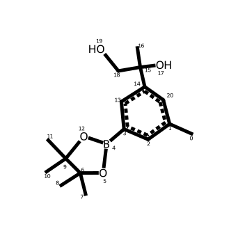 Cc1cc(B2OC(C)(C)C(C)(C)O2)cc(C(C)(O)CO)c1